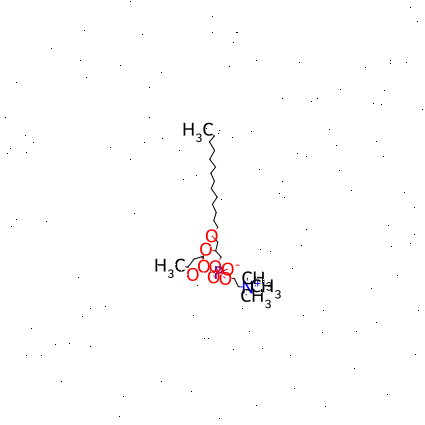 CCCCCCCCCCCCCCOCC(COP(=O)([O-])OCC[N+](C)(C)C)OC(=O)CC(C)=O